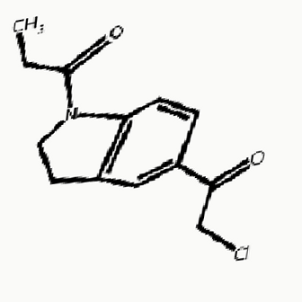 CCC(=O)N1CCc2cc(C(=O)CCl)ccc21